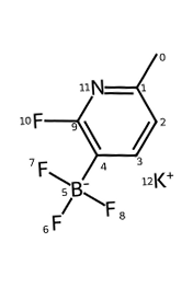 Cc1ccc([B-](F)(F)F)c(F)n1.[K+]